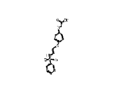 O=C(O)COc1ccc(SCCNS(=O)(=O)c2cccnc2)cc1